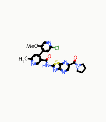 COc1cnc(Cl)cc1-c1cc(C)ncc1C(=O)Nc1nc2ncc(C(=O)N3CCCC3)nc2s1